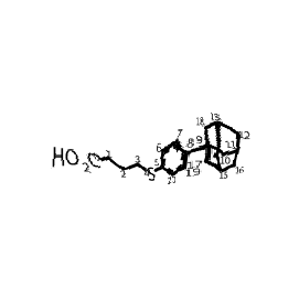 O=C(O)CCCSc1ccc(C23CC4CC(CC(C4)C2)C3)cc1